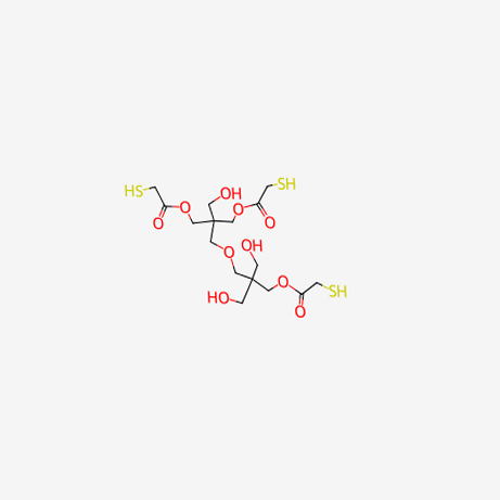 O=C(CS)OCC(CO)(CO)COCC(CO)(COC(=O)CS)COC(=O)CS